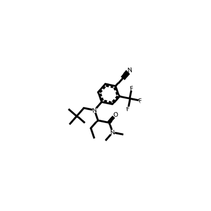 CCC(C(=O)N(C)C)N(CC(C)(C)C)c1ccc(C#N)c(C(F)(F)F)c1